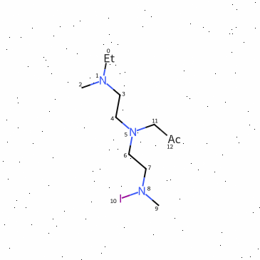 CCN(C)CCN(CCN(C)I)CC(C)=O